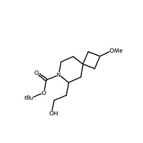 COC1CC2(CCN(C(=O)OC(C)(C)C)C(CCO)C2)C1